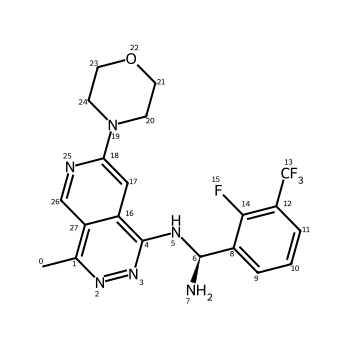 Cc1nnc(N[C@H](N)c2cccc(C(F)(F)F)c2F)c2cc(N3CCOCC3)ncc12